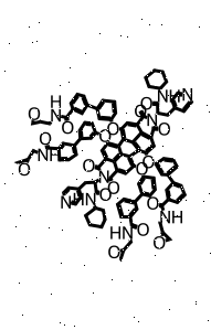 O=C(NCC1CO1)c1cccc(-c2cccc(Oc3cc4c5c(cc(Oc6cccc(-c7cccc(C(=O)NCC8CO8)c7)c6)c6c7c(Oc8cccc(-c9cccc(C(=O)NCC%10CO%10)c9)c8)cc8c9c(cc(Oc%10cccc(-c%11cccc(C(=O)NCC%12CO%12)c%11)c%10)c(c3c56)c97)C(=O)N(C(Cc3ccncc3)C(=O)NC3CCCCC3)C8=O)C(=O)N(C(Cc3ccncc3)C(=O)NC3CCCCC3)C4=O)c2)c1